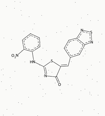 O=C1N=C(Nc2ccccc2[N+](=O)[O-])S/C1=C\c1ccc2nsnc2c1